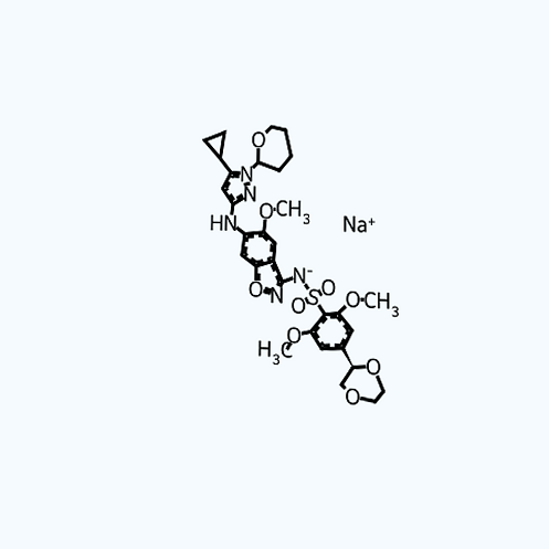 COc1cc2c([N-]S(=O)(=O)c3c(OC)cc([C@@H]4COCCO4)cc3OC)noc2cc1Nc1cc(C2CC2)n(C2CCCCO2)n1.[Na+]